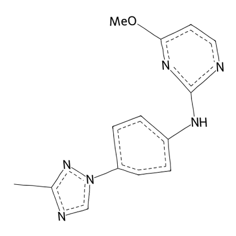 COc1ccnc(Nc2ccc(-n3cnc(C)n3)cc2)n1